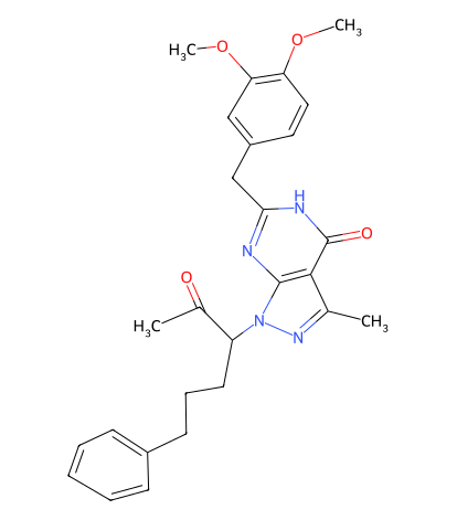 COc1ccc(Cc2nc3c(c(C)nn3C(CCCc3ccccc3)C(C)=O)c(=O)[nH]2)cc1OC